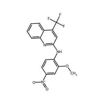 COc1cc([N+](=O)[O-])ccc1Nc1cc(C(F)(F)F)c2ccccc2n1